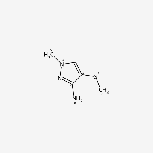 CSc1cn(C)nc1N